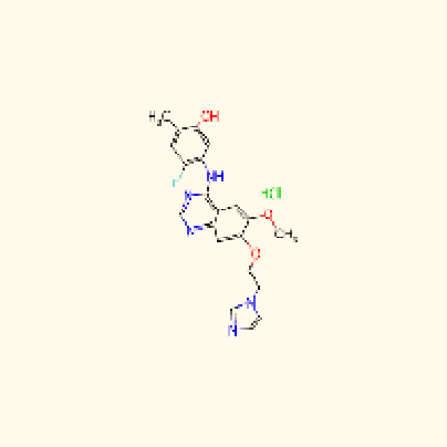 COc1cc2c(Nc3cc(O)c(C)cc3F)ncnc2cc1OCCn1ccnc1.Cl